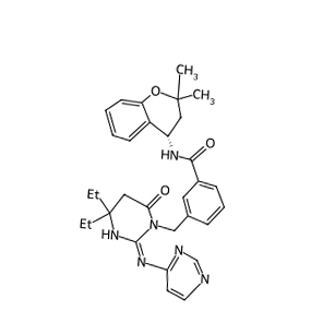 CCC1(CC)CC(=O)N(Cc2cccc(C(=O)N[C@H]3CC(C)(C)Oc4ccccc43)c2)/C(=N\c2ccncn2)N1